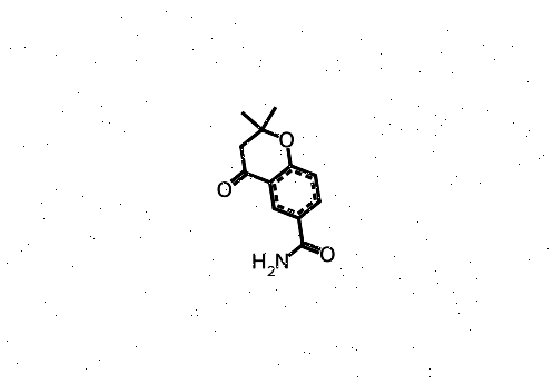 CC1(C)CC(=O)c2cc(C(N)=O)ccc2O1